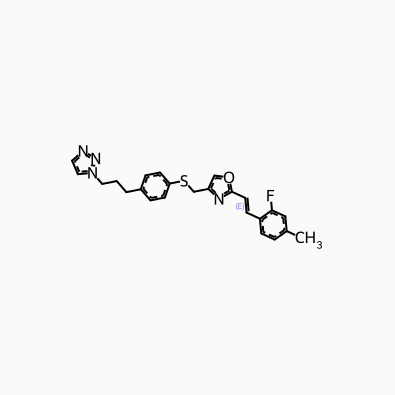 Cc1ccc(/C=C/c2nc(CSc3ccc(CCCn4ccnn4)cc3)co2)c(F)c1